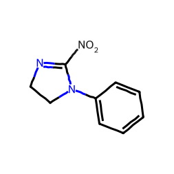 O=[N+]([O-])C1=NCCN1c1ccccc1